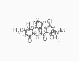 CCNc1cc(Cl)cc(C(=O)NCc2c(-c3ccccn3)[nH]c(C)cc2=O)c1C